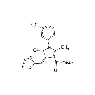 COC(=O)C1=C(C)N(c2cccc(C(F)(F)F)c2)C(=O)/C1=C\c1cccs1